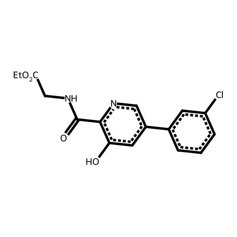 CCOC(=O)CNC(=O)c1ncc(-c2cccc(Cl)c2)cc1O